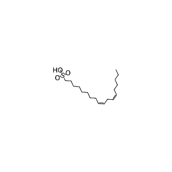 CCCCC/C=C\C/C=C\CCCCCCCCS(=O)(=O)O